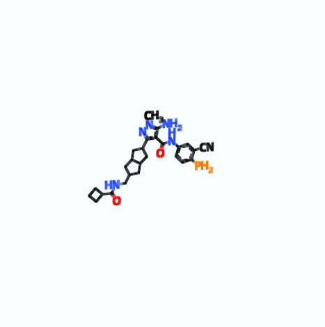 Cn1nc(C2CC3CC(CNC(=O)C4CCC4)CC3C2)c(C(=O)Nc2ccc(P)c(C#N)c2)c1N